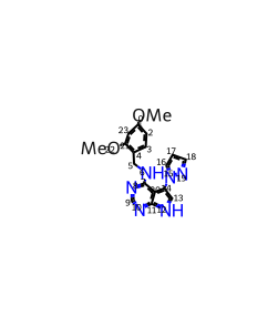 COc1ccc(CNc2ncnc3[nH]cc(-n4cccn4)c23)c(OC)c1